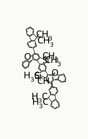 CC1(C)c2ccccc2-c2ccc(-c3cc4c(c5c3oc3ccccc35)-c3cc5c(cc3[Si]4(C)C)-c3c(cc(-c4ccc6c(c4)C(C)(C)c4ccccc4-6)c4c3oc3ccccc34)[Si]5(C)C)cc21